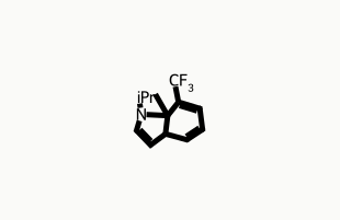 CC(C)N1C=CC2C=CC=C(C(F)(F)F)C21C